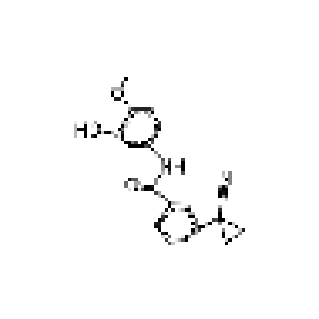 COc1ccc(NC(=O)c2cccc(C3(C#N)CC3)c2)cc1O